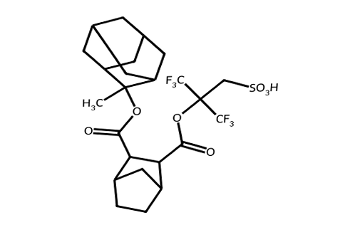 CC1(OC(=O)C2C3CCC(C3)C2C(=O)OC(CS(=O)(=O)O)(C(F)(F)F)C(F)(F)F)C2CC3CC(C2)CC1C3